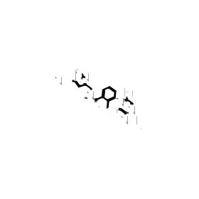 C[C@@H](Oc1nc(Br)cnc1N)c1ccccc1C(=O)N(C)Cc1cc(C#N)n(C)n1